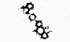 CN1c2nnc(N3CCN(C(=O)c4ccccc4C(F)(F)F)CC3)cc2C(=O)Nc2cccc(F)c21